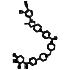 C[C@@H]1CC2(CCN(c3ccc(C(=O)N4CCC(CN5CCC(c6ccc(NC7CCC(=O)NC7=O)cc6)CC5)CC4)cc3)CC2)CN1c1ccc(C#N)c(Cl)c1